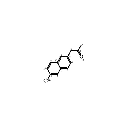 CC(=O)Cc1ccc2cc(Cl)ccc2c1